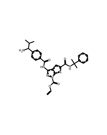 C=COC(=O)n1nc(NC(=O)c2ccc(C(N)C(C)C)cc2)c2cc(C(=O)NC(C)(C)c3ccccc3)sc21